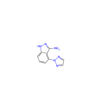 Nc1n[nH]c2cccc(-n3nccn3)c12